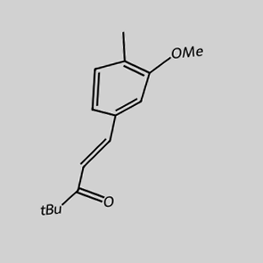 COc1cc(/C=C/C(=O)C(C)(C)C)ccc1C